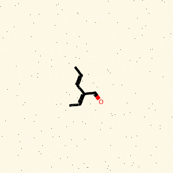 C/C=C/C(C=O)=C\C